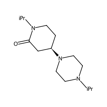 CC(C)N1CCN([C@@H]2CCN(C(C)C)C(=O)C2)CC1